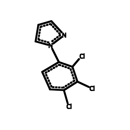 Clc1ccc(-n2cccn2)c(Cl)c1Cl